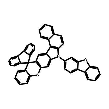 c1ccc2c(c1)Sc1cc3c(cc1C21c2ccccc2-c2ccccc21)c1c2ccccc2ccc1n3-c1ccc2c(c1)oc1ccccc12